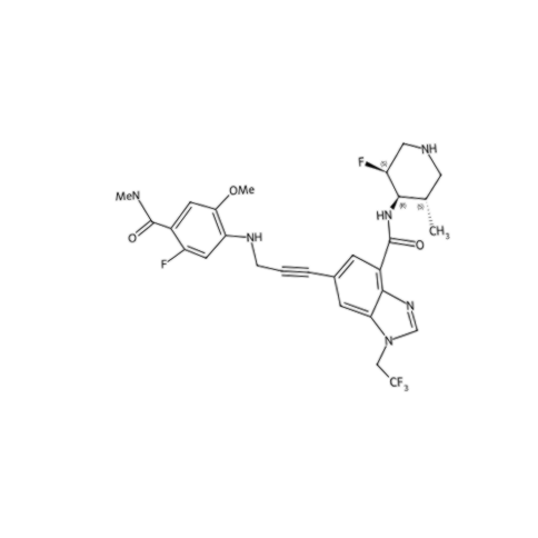 CNC(=O)c1cc(OC)c(NCC#Cc2cc(C(=O)N[C@@H]3[C@@H](C)CNC[C@@H]3F)c3ncn(CC(F)(F)F)c3c2)cc1F